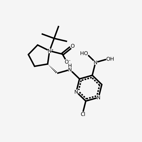 CC(C)(C)[N+]1(C(=O)[O-])CCC[C@H]1CNc1nc(Cl)ncc1N(O)O